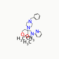 CCC(=O)N(CC1(N2CCN(Cc3ccccc3)CC2)CCOC(C)(C)C1)c1ccccn1